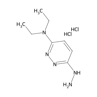 CCN(CC)c1ccc(NN)nn1.Cl.Cl